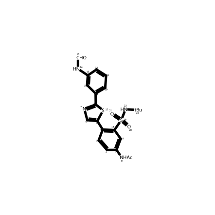 CC(=O)Nc1ccc(-c2cnc(-c3cccc(NC=O)c3)s2)c(S(=O)(=O)NC(C)(C)C)c1